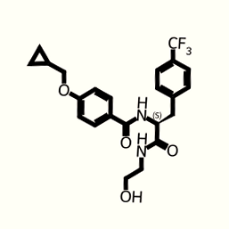 O=C(N[C@@H](Cc1ccc(C(F)(F)F)cc1)C(=O)NCCO)c1ccc(OCC2CC2)cc1